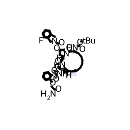 CC(C)(C)OC(=O)N[C@H]1CCCCC/C=C\[C@H]2C[C@@]2(C(=O)NS(=O)(=O)c2ccccc2OCC(N)=O)NC(=O)[C@@H]2C[C@@H](OC(=O)N3Cc4cccc(F)c4C3)CN2C1=O